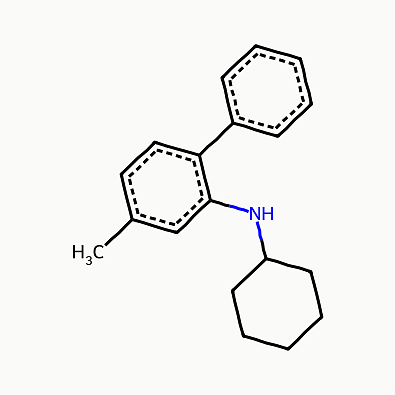 Cc1ccc(-c2ccccc2)c(NC2CCCCC2)c1